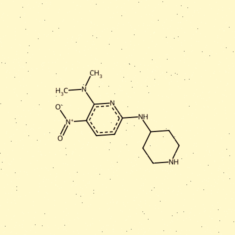 CN(C)c1nc(NC2CCNCC2)ccc1[N+](=O)[O-]